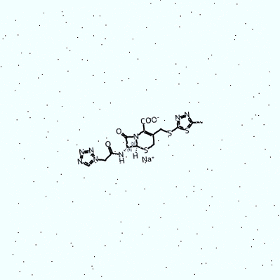 Cc1nnc(SCC2=C(C(=O)[O-])N3C(=O)[C@@H](NC(=O)Cn4cnnn4)[C@@H]3SC2)s1.[Na+]